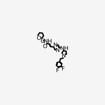 O=C(C=Cc1cnc(N[C@@H]2CCN(CCc3ccc(F)c(F)c3)C2)cn1)NOC1CCCCO1